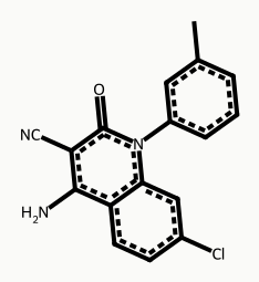 Cc1cccc(-n2c(=O)c(C#N)c(N)c3ccc(Cl)cc32)c1